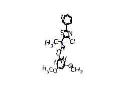 COc1cc(OC)nc(O/N=C(\C)c2sc(-c3cccnc3)nc2Cl)n1